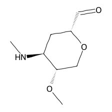 CN[C@H]1C[C@H](C=O)OC[C@@H]1OC